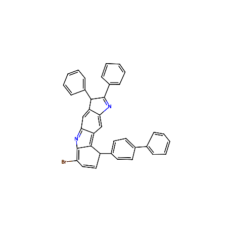 BrC1=C2N=c3cc4c(cc3=C2C(c2ccc(-c3ccccc3)cc2)C=C1)N=C(c1ccccc1)C4c1ccccc1